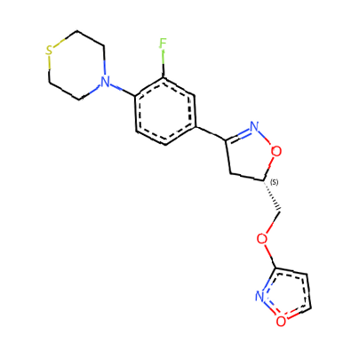 Fc1cc(C2=NO[C@H](COc3ccon3)C2)ccc1N1CCSCC1